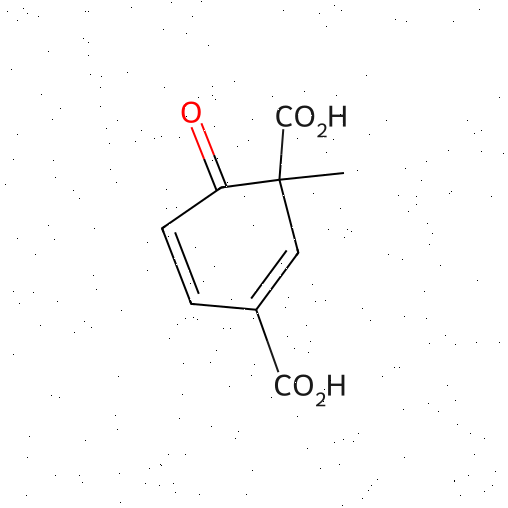 CC1(C(=O)O)C=C(C(=O)O)C=CC1=O